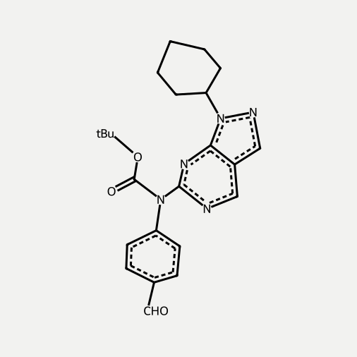 CC(C)(C)OC(=O)N(c1ccc(C=O)cc1)c1ncc2cnn(C3CCCCC3)c2n1